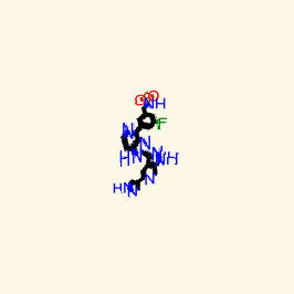 CS(=O)(=O)NCc1cc(F)cc(-c2nccc3[nH]c(-c4n[nH]c5cnc(-c6cn[nH]c6)cc45)nc23)c1